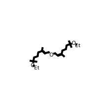 CCOC(C)(C)CCCC(C)=CCOCC=C(C)CCCC(C)(C)OCC